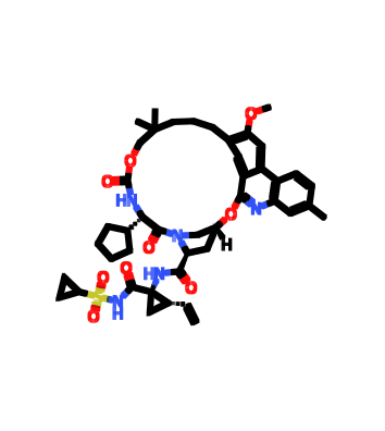 C=C[C@@H]1C[C@]1(NC(=O)[C@@H]1C[C@@H]2CN1C(=O)[C@H](C1CCCC1)NC(=O)OCC(C)(C)CCCc1cc3c(nc4cc(C)ccc4c3cc1OC)O2)C(=O)NS(=O)(=O)C1CC1